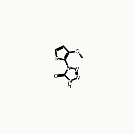 COc1ccsc1-n1nn[nH]c1=O